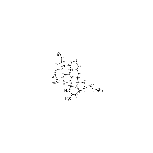 CCOc1cc(OC(C)C)c(F)c(N(Cc2cccc(N3CCC[C@H]3CO)n2)c2ccc(C(=N)N)cc2)c1